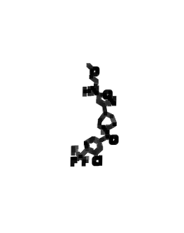 COCCNc1cc(C2CCN(C(=O)c3ccc(C(F)(F)F)c(Cl)c3)CC2)no1